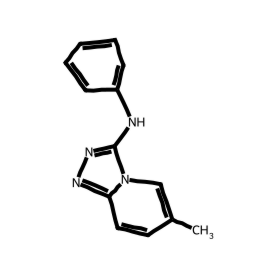 Cc1ccc2nnc(Nc3ccccc3)n2c1